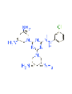 N[C@@H]1C[C@H](N)CN(c2nc(NNc3cccc(Cl)c3)nc(N3C[C@H](N)C[C@H](N)C3)n2)C1